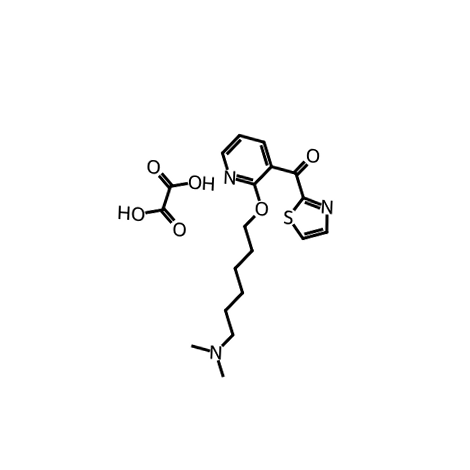 CN(C)CCCCCCOc1ncccc1C(=O)c1nccs1.O=C(O)C(=O)O